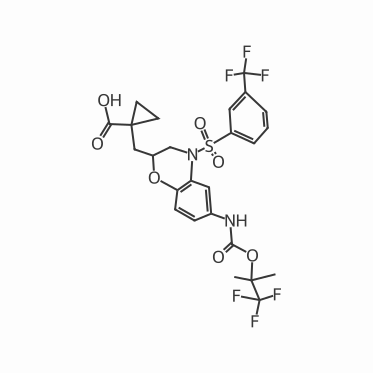 CC(C)(OC(=O)Nc1ccc2c(c1)N(S(=O)(=O)c1cccc(C(F)(F)F)c1)CC(CC1(C(=O)O)CC1)O2)C(F)(F)F